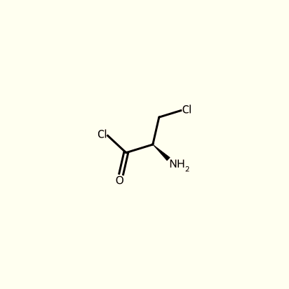 N[C@H](CCl)C(=O)Cl